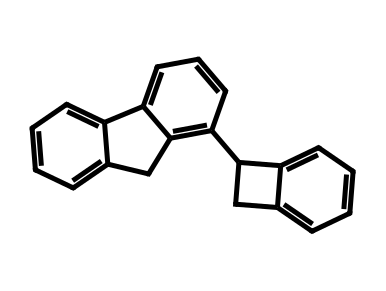 c1ccc2c(c1)Cc1c-2cccc1C1Cc2ccccc21